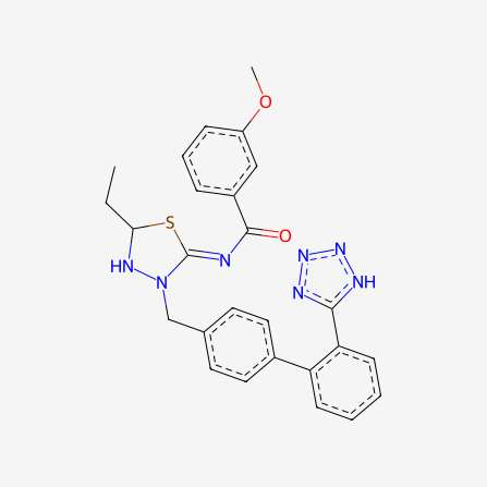 CCC1NN(Cc2ccc(-c3ccccc3-c3nnn[nH]3)cc2)C(=NC(=O)c2cccc(OC)c2)S1